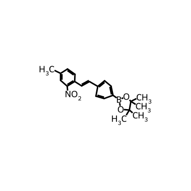 Cc1ccc(/C=C/c2ccc(B3OC(C)(C)C(C)(C)O3)cc2)c([N+](=O)[O-])c1